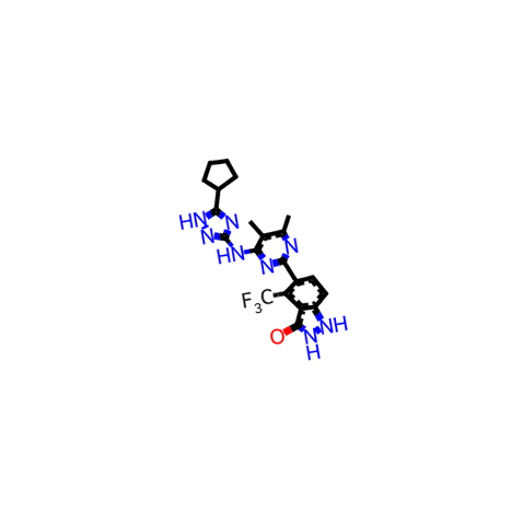 Cc1nc(-c2ccc3[nH][nH]c(=O)c3c2C(F)(F)F)nc(Nc2n[nH]c(C3CCCC3)n2)c1C